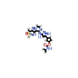 CC(C)NC(=O)OC1CCC(c2cc(Nc3nccn4nc(C(C)S(C)(=N)=O)cc34)n[nH]2)C1